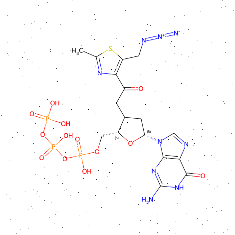 Cc1nc(C(=O)CC2C[C@H](n3cnc4c(=O)[nH]c(N)nc43)O[C@@H]2COP(=O)(O)OP(=O)(O)OP(=O)(O)O)c(CN=[N+]=[N-])s1